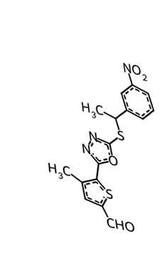 Cc1cc(C=O)sc1-c1nnc(SC(C)c2cccc([N+](=O)[O-])c2)o1